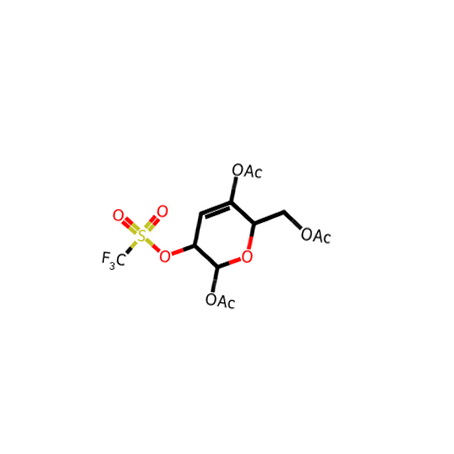 CC(=O)OCC1OC(OC(C)=O)C(OS(=O)(=O)C(F)(F)F)C=C1OC(C)=O